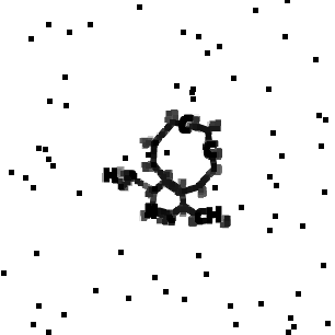 CC1N=NC(P)C2=C1CCCCCCCC2